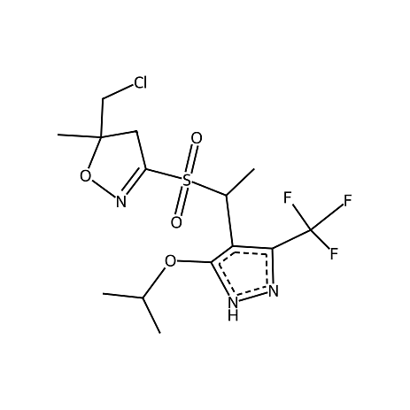 CC(C)Oc1[nH]nc(C(F)(F)F)c1C(C)S(=O)(=O)C1=NOC(C)(CCl)C1